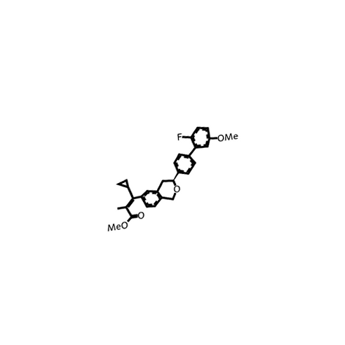 COC(=O)C(C)=C(c1ccc2c(c1)C[C@@H](c1ccc(-c3cc(OC)ccc3F)cc1)OC2)C1CC1